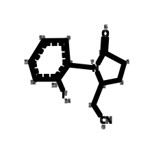 N#CCC1CCC(=O)N1c1ccccc1F